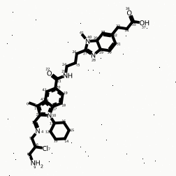 Cc1c(/C=N/CC(Cl)CN)n(C2CCCCC2)c2ccc(C(=O)NCCCC3=NC4C=CC(CCC(=O)O)=CC4N3C)cc12